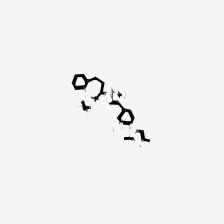 COc1cc(-c2cn(C3CCc4ccccc4N(CC(F)(F)F)C3=O)nn2)ccc1-n1cc(C)nc1C